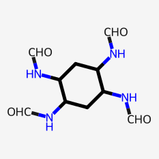 O=CNC1CC(NC=O)C(NC=O)CC1NC=O